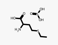 CCSCCC(N)C(=O)O.O=S(O)O